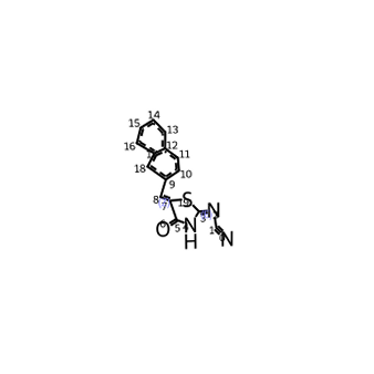 N#C/N=C1\NC(=O)/C(=C/c2ccc3ccccc3c2)S1